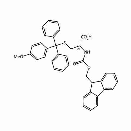 COc1ccc(C(SC[C@@H](NC(=O)OCC2c3ccccc3-c3ccccc32)C(=O)O)(c2ccccc2)c2ccccc2)cc1